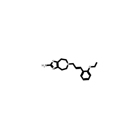 CCOc1ccccc1C=CCN1CCc2nc(N)sc2CC1